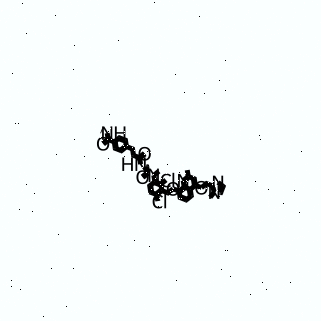 CNC(=O)c1ccc(CCC(=O)NCC(=O)N(C)c2ccc(Cl)c(COc3cccc4c(OCc5nccn5C)cc(C)nc34)c2Cl)cc1